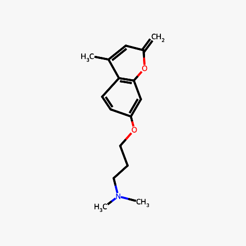 C=C1C=C(C)c2ccc(OCCCN(C)C)cc2O1